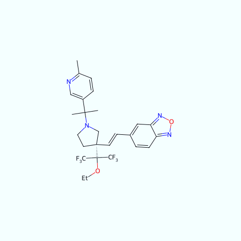 CCOC(C(F)(F)F)(C(F)(F)F)[C@]1(/C=C/c2ccc3nonc3c2)CCN(C(C)(C)c2ccc(C)nc2)C1